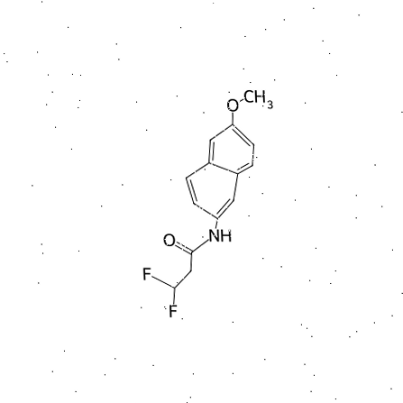 COc1ccc2cc(NC(=O)CC(F)F)ccc2c1